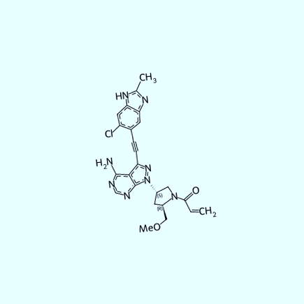 C=CC(=O)N1C[C@@H](n2nc(C#Cc3cc4nc(C)[nH]c4cc3Cl)c3c(N)ncnc32)C[C@@H]1COC